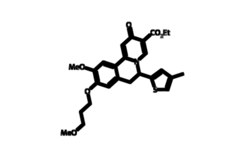 CCOC(=O)c1cn2c(cc1=O)-c1cc(OC)c(OCCCOC)cc1CC2c1cc(C)cs1